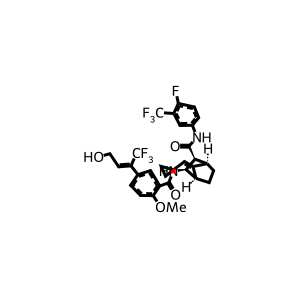 COc1ccc(/C(=C/CO)C(F)(F)F)cc1C(=O)N[C@H]1[C@@H](C(=O)Nc2ccc(F)c(C(F)(F)F)c2)[C@H]2CC[C@@H]1/C2=C\C1CC1